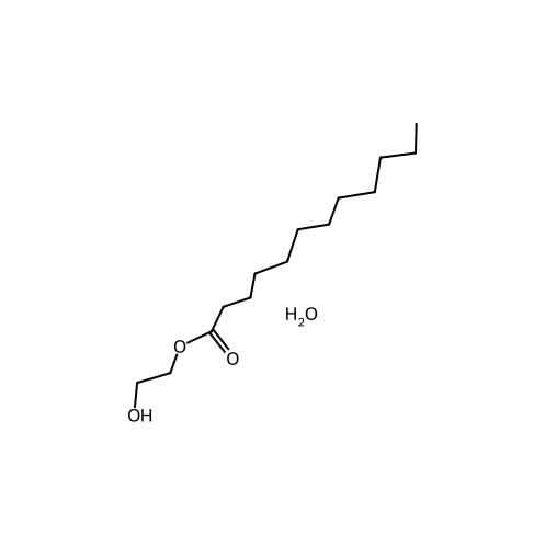 CCCCCCCCCCCC(=O)OCCO.O